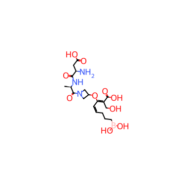 C[C@@H](NC(=O)[C@H](N)CC(=O)O)C(=O)N1CC(OC(/C=C\CCCB(O)O)=C(/CO)C(=O)O)C1